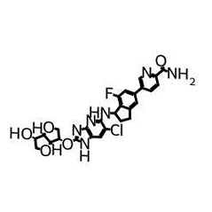 NC(=O)c1ccc(-c2cc(F)c3c(c2)CCC3Nc2nc3nc(O[C@@H]4CO[C@H]5[C@@H]4OC[C@H]5O)[nH]c3cc2Cl)cn1